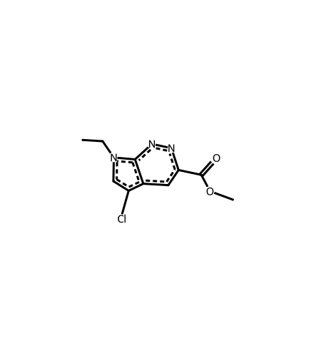 CCn1cc(Cl)c2cc(C(=O)OC)nnc21